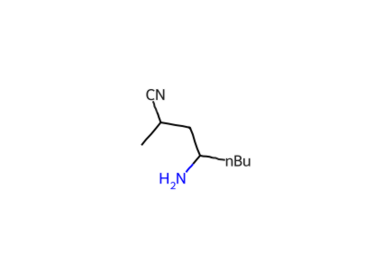 CCCCC(N)CC(C)C#N